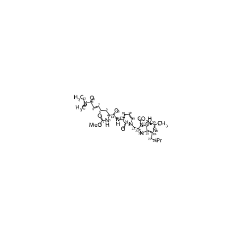 COC(=O)NC(CCC=CC(=O)N(C)C)C(=O)Nc1cccn(Cc2nc3c(CC(C)C)nc(C)nc3n2C(=O)O)c1=O